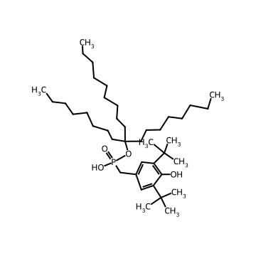 CCCCCCCCCC(CCCCCCCC)(CCCCCCCC)OP(=O)(O)Cc1cc(C(C)(C)C)c(O)c(C(C)(C)C)c1